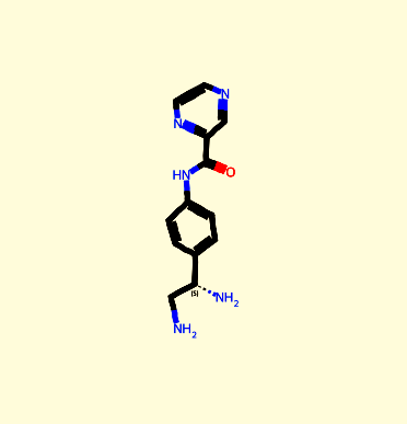 NC[C@@H](N)c1ccc(NC(=O)c2cnccn2)cc1